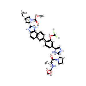 COC[C@H]1C[C@@H](c2nc3ccc4cc(-c5ccc(-c6cnc([C@@H]7CCCN7C(=O)[C@@H](NC7OCO7)C(C)C)[nH]6)cc5OC(F)F)ccc4c3[nH]2)N(C(=O)OC(C)(C)C)C1